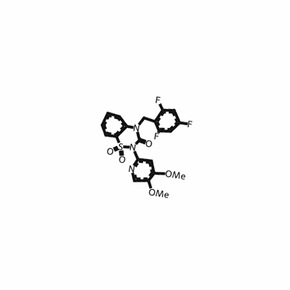 COc1cnc(N2C(=O)N(Cc3c(F)cc(F)cc3F)c3ccccc3S2(=O)=O)cc1OC